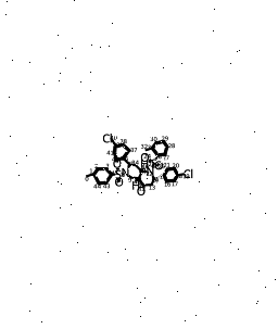 Cc1ccc(S(=O)(=O)N2C[C@H]3C(=O)C[C@@H](c4ccc(Cl)cc4)N(S(=O)(=O)c4ccccc4C)[C@H]3CC2c2ccc(Cl)cc2)cc1